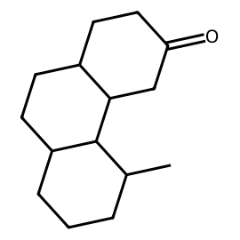 CC1CCCC2CCC3CCC(=O)CC3C12